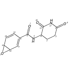 O=C1CCC(NC(=O)C2=CC3OC3C=C2)C(=O)N1